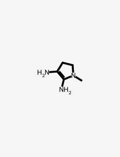 CN1CCC(N)=C1N